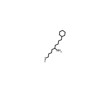 NC(CCCCSI)CCCCC1CCCCC1